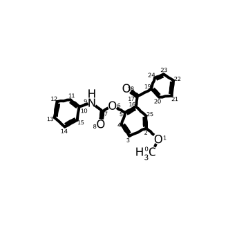 COc1ccc(OC(=O)Nc2ccccc2)c(C(=O)c2ccccc2)c1